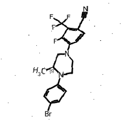 C[C@H]1CN(c2ccc(C#N)c(C(F)(F)F)c2F)CCN1c1ccc(Br)cc1